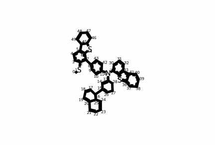 CSc1ccc2c(c1-c1ccc(N(C3=CC(C4C=CC=C5C=CC=CC54)=CCC3)c3cccc4c3sc3ccccc34)cc1)SC1C=CC=CC21